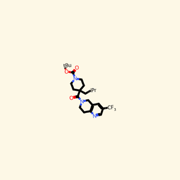 CC(C)CC1(C(=O)N2CCc3ncc(C(F)(F)F)cc3C2)CCN(C(=O)OC(C)(C)C)CC1